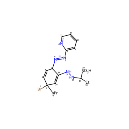 CCCC1(Br)C=CC(/N=N/c2ccccn2)C(NNC(CC)S(=O)(=O)O)=C1